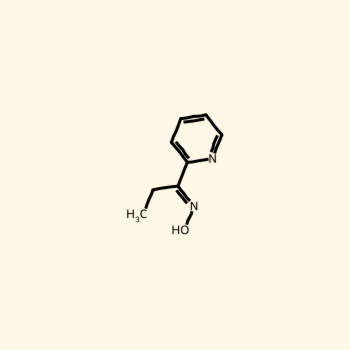 CCC(=NO)c1ccccn1